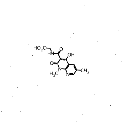 Cc1cnc2c(c1)c(O)c(C(=O)NCC(=O)O)c(=O)n2C